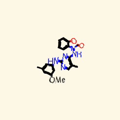 COc1cc(C)cc(Nc2ncc(C)c(Nn3c(=O)oc4ccccc43)n2)c1